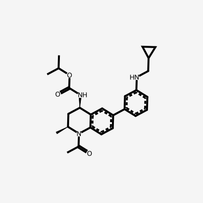 CC(=O)N1c2ccc(-c3cccc(NCC4CC4)c3)cc2[C@H](NC(=O)OC(C)C)C[C@@H]1C